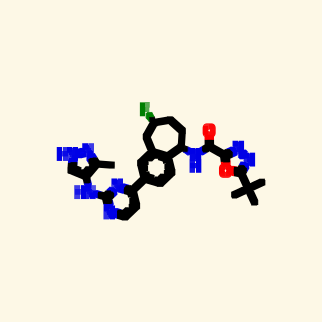 Cc1n[nH]cc1Nc1nccc(-c2ccc3c(c2)C[C@@H](F)CC[C@H]3NC(=O)c2nnc(C(C)(C)C)o2)n1